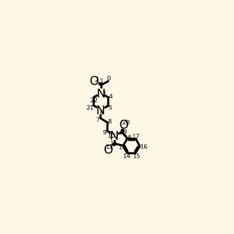 CC(=O)N1CCN(CCCN2C(=O)c3ccccc3C2=O)CC1